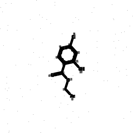 CC(=O)COC(=O)c1ccc(Cl)cc1O